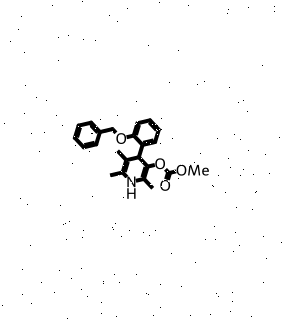 COC(=O)OC1=C(C)NC(C)=C(C)C1c1ccccc1OCc1ccccc1